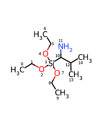 CCO[Si](OCC)(OCC)C(N)C(C)C